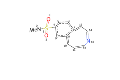 CNS(=O)(=O)c1ccc2c(c1)=CC=CN=CC=2